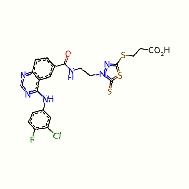 O=C(O)CCSc1nn(CCNC(=O)c2ccc3ncnc(Nc4ccc(F)c(Cl)c4)c3c2)c(=S)s1